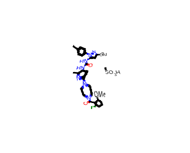 COc1cccc(F)c1C(=O)N1CCN(c2ccc(NC(=O)Nc3cc(C(C)(C)C)nn3-c3ccc(C)cc3)c(C)n2)CC1.CS(=O)(=O)O